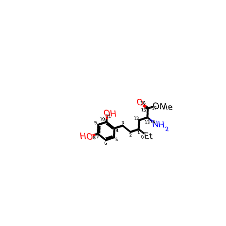 CCC(CCc1ccc(O)cc1O)CC(N)C(=O)OC